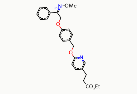 CCOC(=O)CCc1ccc(OCc2ccc(OC/C(=N\OC)c3ccccc3)cc2)nc1